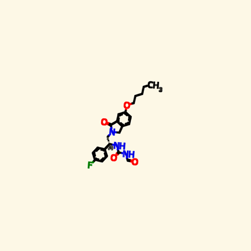 CCCCCOc1ccc2c(c1)C(=O)N(C[C@H](NC(=O)NC=O)c1ccc(F)cc1)C2